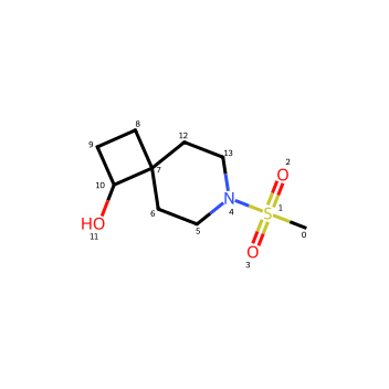 CS(=O)(=O)N1CCC2(CCC2O)CC1